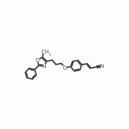 Cc1oc(-c2ccccc2)nc1CCCOc1ccc(C=CC#N)cc1